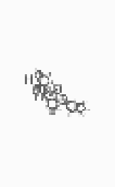 C=C1CCC(N2C(=O)c3cccc(Oc4ccc5c(c4)CCC5)c3C2=O)C(=O)N1